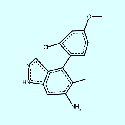 COc1ccc(-c2c(C)c(N)cc3[nH]ncc23)c(Cl)c1